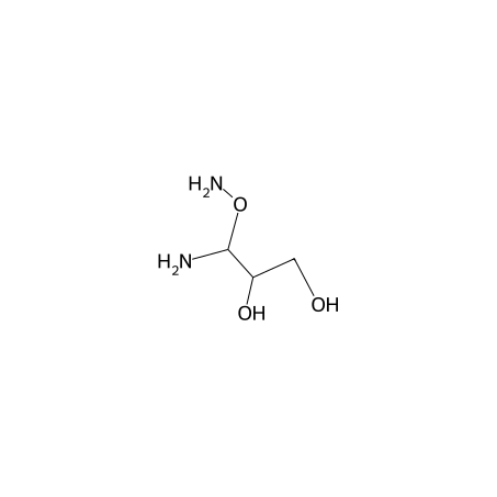 NOC(N)C(O)CO